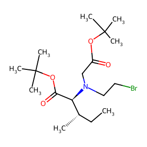 CC[C@H](C)[C@@H](C(=O)OC(C)(C)C)N(CCBr)CC(=O)OC(C)(C)C